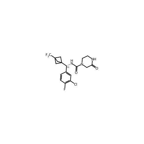 O=C1CN(C(=O)N[C@H](c2ccc(F)c(Cl)c2)C23CC(C(F)(F)F)(C2)C3)CCN1